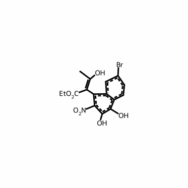 CCOC(=O)C(=C(C)O)c1c([N+](=O)[O-])c(O)c(O)c2ccc(Br)cc12